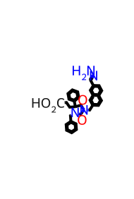 NN=Cc1ccc2ccc(CN3C(=O)N(Cc4ccccc4)C(CCC(=O)O)(c4ccccc4)C3=O)cc2c1